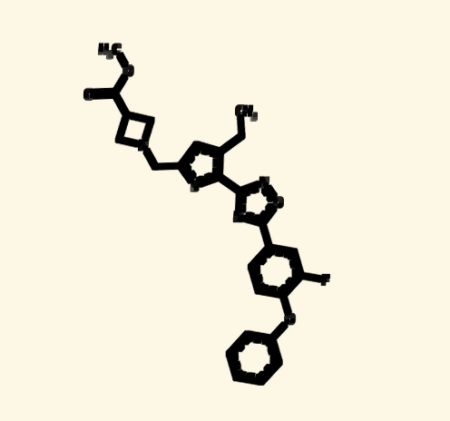 CCc1cc(CN2CC(C(=O)OC)C2)sc1-c1noc(-c2ccc(Oc3ccccc3)c(F)c2)n1